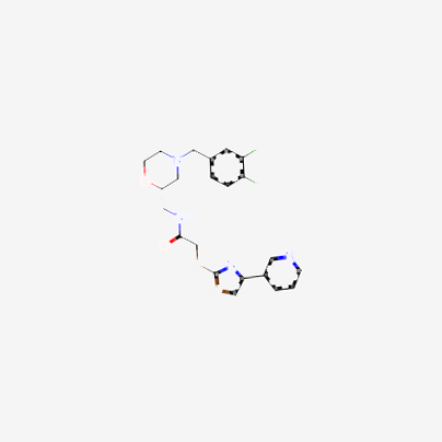 O=C(CSc1nc(-c2cccnc2)cs1)NC[C@H]1CN(Cc2ccc(Cl)c(Cl)c2)CCO1